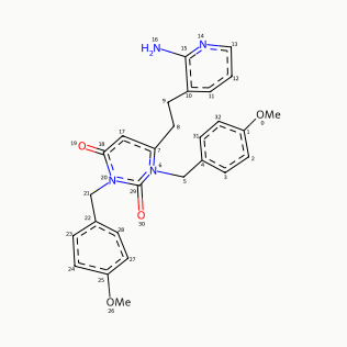 COc1ccc(Cn2c(CCc3cccnc3N)cc(=O)n(Cc3ccc(OC)cc3)c2=O)cc1